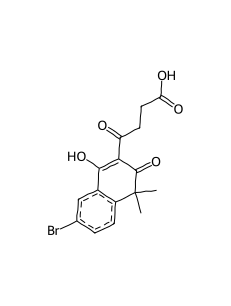 CC1(C)C(=O)C(C(=O)CCC(=O)O)=C(O)c2cc(Br)ccc21